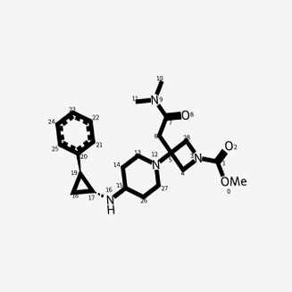 COC(=O)N1CC(CC(=O)N(C)C)(N2CCC(N[C@@H]3C[C@H]3c3ccccc3)CC2)C1